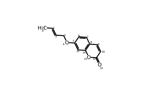 C/C=C/COc1ccc2ccc(=O)oc2c1